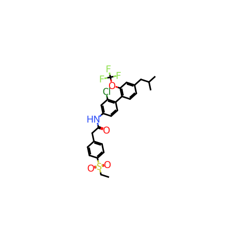 CCS(=O)(=O)c1ccc(CC(=O)Nc2ccc(-c3ccc(CC(C)C)cc3OC(F)(F)F)c(Cl)c2)cc1